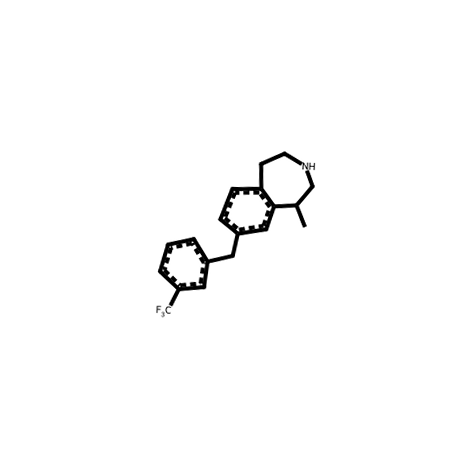 CC1CNCCc2ccc(Cc3cccc(C(F)(F)F)c3)cc21